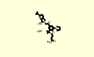 Br.CC(C)(C)c1cc(C(=O)CN2Cc3ccc(C4CC4)nc3C2=N)cc(N2CCCC2)c1OCCCC(=O)O